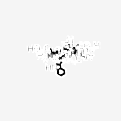 CC(C)[C@H](NC(=O)[C@H](CC(=O)O)NC(=O)[C@@H](NC(=O)[C@H](Cc1c[nH]c2ccccc12)NC(=O)[C@@H](N)CC(=O)O)C(C)C)C(=O)O